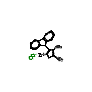 CC(C)C1=C(C(C)(C)C)C(C2c3ccccc3-c3ccccc32)=[C]([Zr+2])C1.[Cl-].[Cl-]